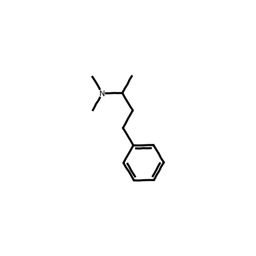 CC(CCc1ccccc1)N(C)C